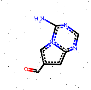 Nc1ncnc2cc(C=O)cn12